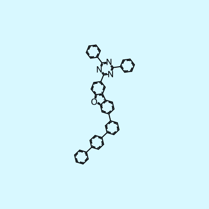 c1ccc(-c2ccc(-c3cccc(-c4ccc5c(c4)oc4ccc(-c6nc(-c7ccccc7)nc(-c7ccccc7)n6)cc45)c3)cc2)cc1